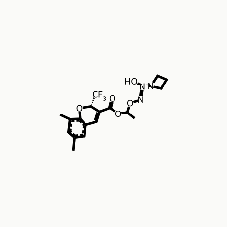 Cc1cc(C)c2c(c1)C=C(C(=O)OC(C)O/N=[N+](\O)N1CCC1)[C@@H](C(F)(F)F)O2